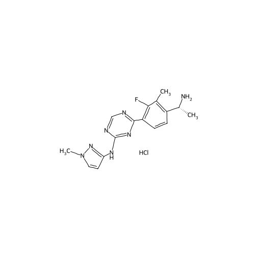 Cc1c([C@@H](C)N)ccc(-c2ncnc(Nc3ccn(C)n3)n2)c1F.Cl